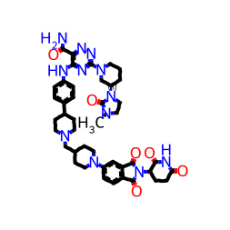 CN1CCN([C@@H]2CCCN(c3nnc(C(N)=O)c(Nc4ccc(C5CCN(CC6CCN(c7ccc8c(c7)C(=O)N(C7CCC(=O)NC7=O)C8=O)CC6)CC5)cc4)n3)C2)C1=O